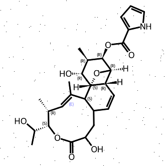 C/C1=C\[C@@H](C)[C@@H](C(C)O)OC(=O)C(O)CC2C=C[C@H]3[C@H]4O[C@@]12[C@@H]3[C@H](O)[C@@H](C)[C@H]4OC(=O)c1ccc[nH]1